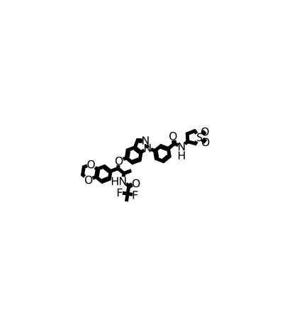 CC(NC(=O)C(C)(F)F)C(Oc1ccc2c(cnn2-c2cccc(C(=O)NC3CCS(=O)(=O)C3)c2)c1)c1ccc2c(c1)OCCO2